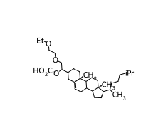 CCOCCOCC(OC(=O)O)C1CC[C@@]2(C)C(=CCC3C2CC[C@@]2(C)C3CC[C@@H]2[C@H](C)CCCC(C)C)C1